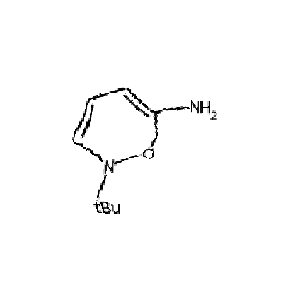 CC(C)(C)N1C=CC=C(N)O1